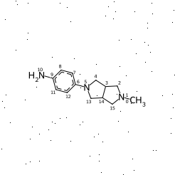 CN1CC2CN(c3ccc(N)cc3)CC2C1